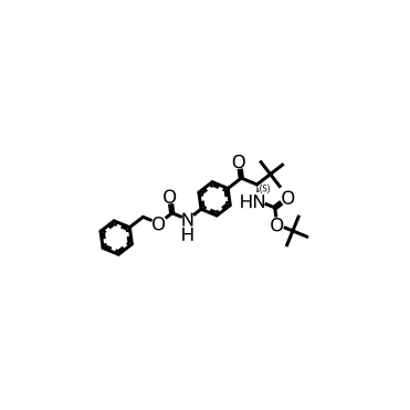 CC(C)(C)OC(=O)N[C@H](C(=O)c1ccc(NC(=O)OCc2ccccc2)cc1)C(C)(C)C